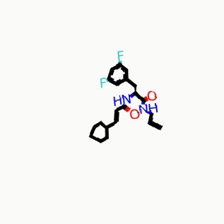 C=CCNC(=O)[C@H](Cc1cc(F)cc(F)c1)NC(=O)/C=C/C1CCCCC1